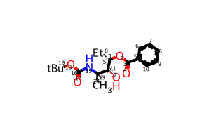 CC[C@H](OC(=O)c1ccccc1)[C@H](O)[C@@H](C)NC(=O)OC(C)(C)C